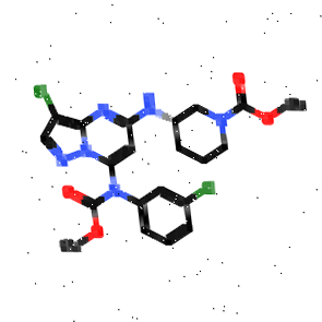 CC(C)(C)OC(=O)N1CCC[C@H](Nc2cc(N(C(=O)OC(C)(C)C)c3cccc(Cl)c3)n3ncc(Cl)c3n2)C1